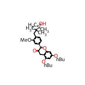 CCCCOc1cc(OCCCC)c2c(c1)O[C@H](c1ccc(CC(C)(C)[Si](C)(C)O)c(OC)c1)C(=O)C2